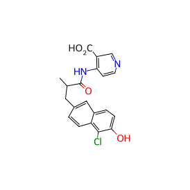 CC(Cc1ccc2c(Cl)c(O)ccc2c1)C(=O)Nc1ccncc1C(=O)O